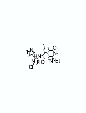 CCn1ncc2c3c(C(CO)Nc4ccc(Cl)nc4-c4cnn(C)c4C)cc(C)cc3c(=O)n(C)c21